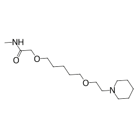 CNC(=O)COCCCCCOCCN1CCCCC1